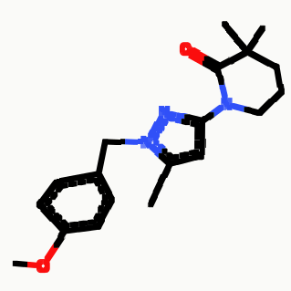 COc1ccc(Cn2nc(N3CCCC(C)(C)C3=O)cc2C)cc1